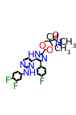 CN(C)C(=O)C1(C)COC(c2nc(-c3ccc(F)cc3)c(-c3ccnc(Nc4ccc(F)c(F)c4)n3)[nH]2)OC1